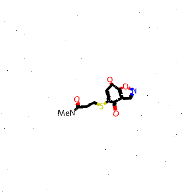 CNC(=O)CCSC1=CC(=O)c2oncc2C1=O